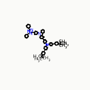 C[Si](C)(C)c1ccc(-c2ccc(N(c3ccc(-c4ccc([Si](C)(C)C)cc4)cc3)c3ccc(-c4ccc5c(c4)c4ccccc4n5-c4ccc(-c5nc(-c6ccccc6)nc(-c6ccccc6)n5)cc4)cc3)cc2)cc1